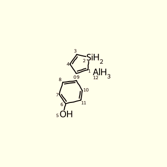 C1=C[SiH2]C=C1.Oc1ccccc1.[AlH3]